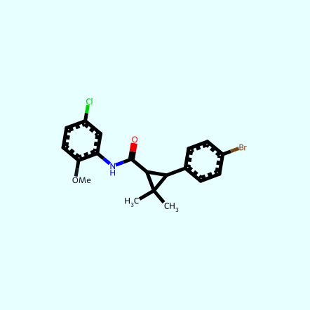 COc1ccc(Cl)cc1NC(=O)C1C(c2ccc(Br)cc2)C1(C)C